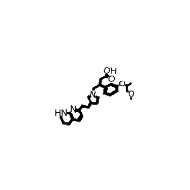 COCC(C)Oc1cccc(C(CC(=O)O)CN2CCC(CCc3ccc4c(n3)NCCC4)C2)c1